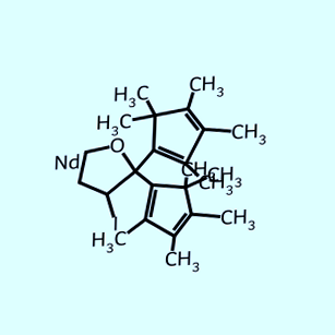 CC1=C(C)C(C)(C)C(C2(C3=C(C)C(C)=C(C)C3(C)C)OCCC2I)=C1C.[Nd]